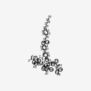 C=C(C)C(=O)OCCCc1cc(-c2ccc(OC(=O)CCc3ccc(CCCCCC)cc3)cc2)ccc1OCC(COC(=O)C(=C)C)(COC(=O)C(=C)CC(=O)OC)COC(=O)C(=C)CC(=O)OC